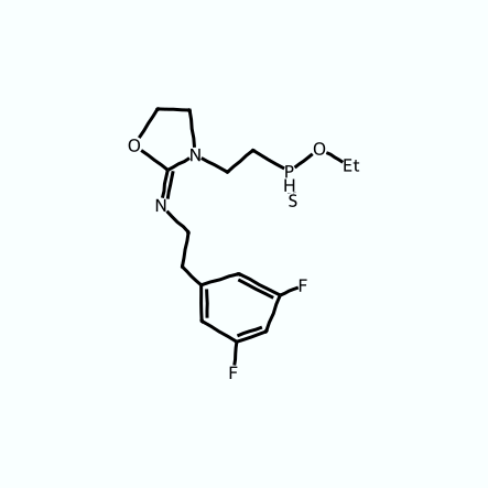 CCO[PH](=S)CCN1CCOC1=NCCc1cc(F)cc(F)c1